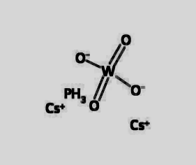 P.[Cs+].[Cs+].[O]=[W](=[O])([O-])[O-]